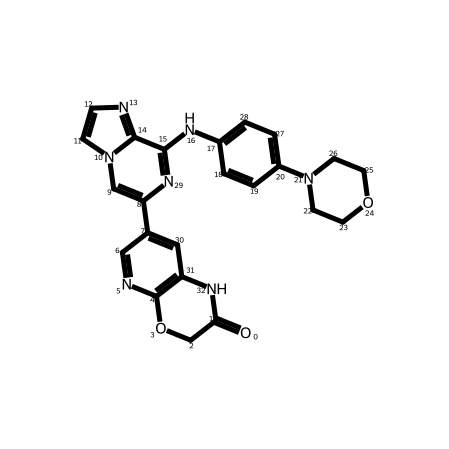 O=C1COc2ncc(-c3cn4ccnc4c(Nc4ccc(N5CCOCC5)cc4)n3)cc2N1